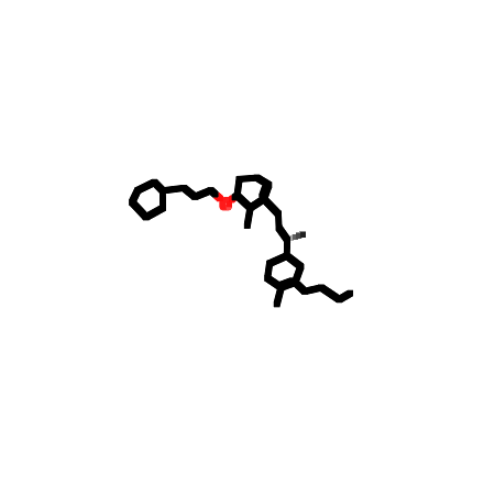 CCCCC1=C(C)CCC([C@@H](C)CCC2=CCCC(OCCCC3CCCCC3)C2C)C1